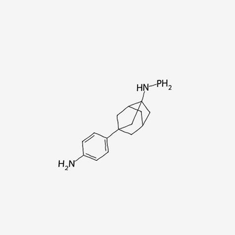 Nc1ccc(C23CC4CC(C2)C(NP)(C4)C3)cc1